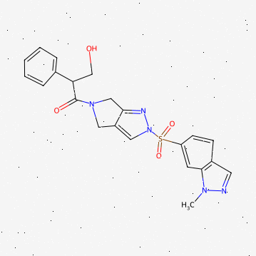 Cn1ncc2ccc(S(=O)(=O)n3cc4c(n3)CN(C(=O)C(CO)c3ccccc3)C4)cc21